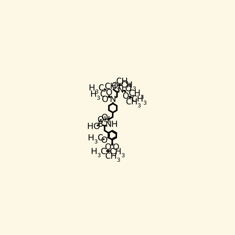 COc1c(CC(NC(=O)CC2CCC(N(CC3COC(C)(C)N3C(=O)OC(C)(C)C)C(=O)OC(C)(C)C)CC2)B(O)O)cccc1C(=O)OC(C)(C)C